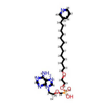 C[C@H](Cn1cnc2c(N)ncnc21)OCP(=O)(O)OCCOCCCCCCCCCCCCCc1cccnc1